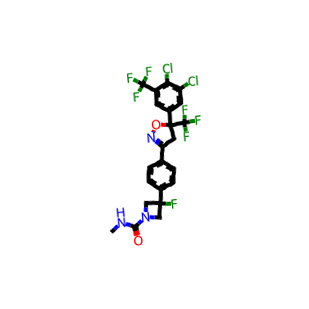 CNC(=O)N1CC(F)(c2ccc(C3=NOC(c4cc(Cl)c(Cl)c(C(F)(F)F)c4)(C(F)(F)F)C3)cc2)C1